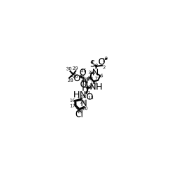 COCC(=S)N1CC[C@H](NC(=O)C(=O)Nc2ccc(Cl)cn2)[C@H](NC(=O)OC(C)(C)C)C1